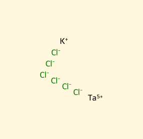 [Cl-].[Cl-].[Cl-].[Cl-].[Cl-].[Cl-].[K+].[Ta+5]